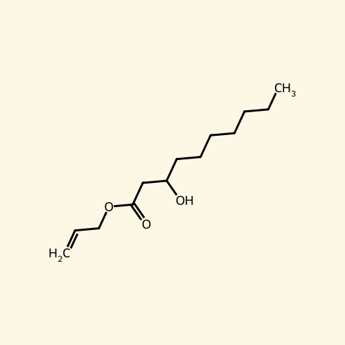 C=CCOC(=O)CC(O)CCCCCCC